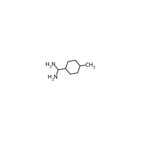 CC1CCC(C(N)N)CC1